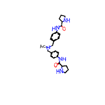 CC(=O)N(Cc1ccc(NC(=O)C2CCCN2)cc1)Cc1ccc(NC(=O)C2CCCN2)cc1